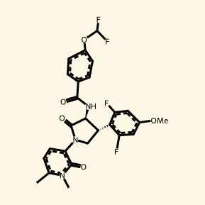 COc1cc(F)c([C@@H]2CN(c3ccc(C)n(C)c3=O)C(=O)[C@H]2NC(=O)c2ccc(OC(F)F)cc2)c(F)c1